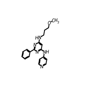 COCCCNc1cc(Nc2ccncc2)nc(-c2ccccc2)n1